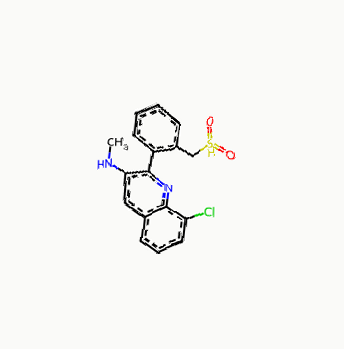 CNc1cc2cccc(Cl)c2nc1-c1ccccc1C[SH](=O)=O